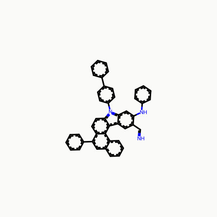 N=Cc1cc2c3c4c(ccc3n(-c3ccc(-c5ccccc5)cc3)c2cc1Nc1ccccc1)c(-c1ccccc1)cc1ccccc14